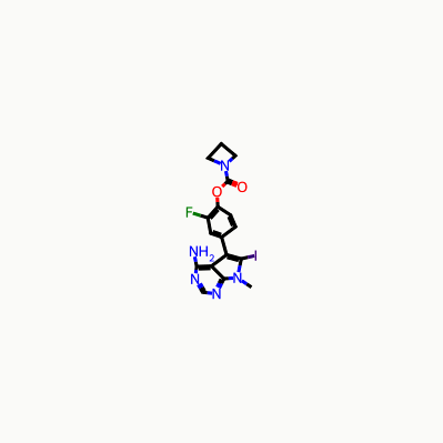 Cn1c(I)c(-c2ccc(OC(=O)N3CCC3)c(F)c2)c2c(N)ncnc21